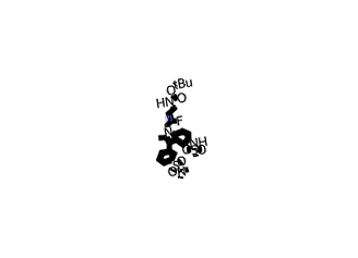 Cc1c(-c2cccc(S(=O)(=O)N(C)C)c2)c2cc(NS(C)(=O)=O)ccc2n1C/C(F)=C/CNC(=O)OC(C)(C)C